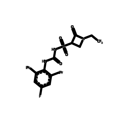 CC(C)c1cc(F)cc(C(C)C)c1NC(=O)NS(=O)(=O)C1CN(CC(F)(F)F)C1=O